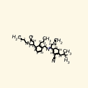 C=CCCN1CC(c2cccc(C/N=C(\CN=C)C3=CC(C#N)=C(CC(C)C)CC3)c2CCC)CC1=O